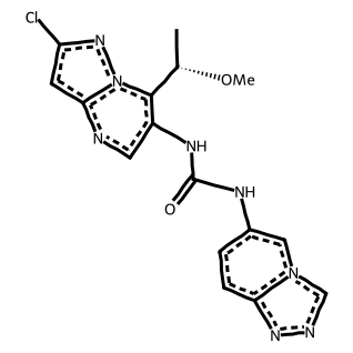 CO[C@@H](C)c1c(NC(=O)Nc2ccc3nncn3c2)cnc2cc(Cl)nn12